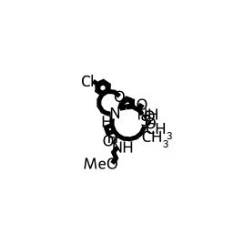 COCCNC(=O)[C@H]1CCC[C@H](C)[C@@H](C)S(=O)(=O)NC(=O)c2ccc3c(c2)N(CCCCc2cc(Cl)ccc2CO3)C[C@@H]2CC[C@H]21